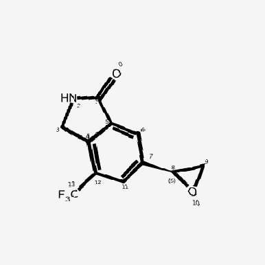 O=C1NCc2c1cc([C@H]1CO1)cc2C(F)(F)F